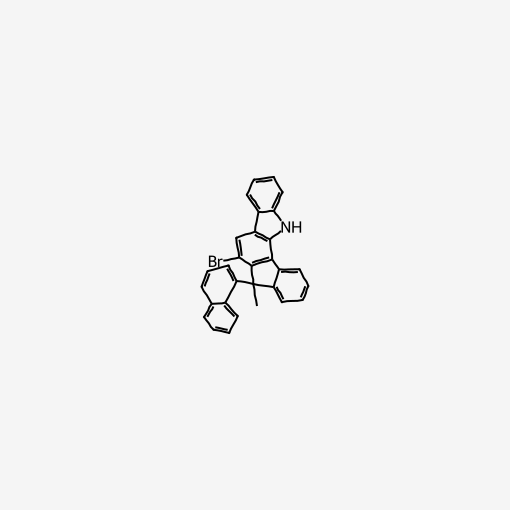 CC1(c2cccc3ccccc23)c2ccccc2-c2c1c(Br)cc1c2[nH]c2ccccc21